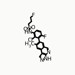 Cc1cc2c(cnc3[nH]ncc32)cc1-c1c(F)ccc(NS(=O)(=O)CCCF)c1Cl